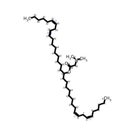 CCCCC/C=C\C/C=C\CCCCCCCCC(CCCCCCCC/C=C\C/C=C\CCCCC)OC(=O)CN(C)C